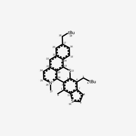 Cc1c2c(c(CC(C)(C)C)c3ccsc13)Sc1c3ccc(CC(C)(C)C)cc3cc3cc[n+](C)c-2c13